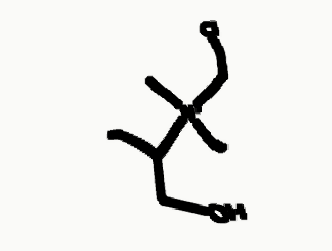 CC(CO)[N+](C)(C)CCl